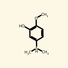 COc1ccc([SH](C)C)cc1O